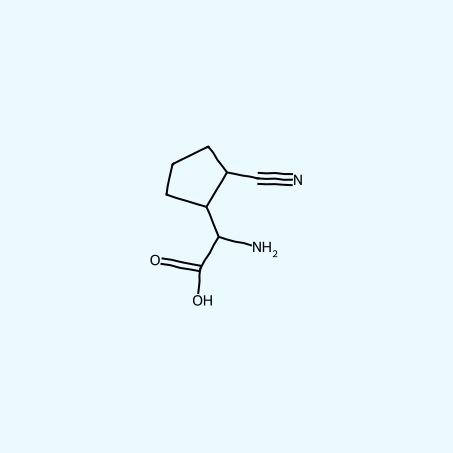 N#CC1CCCC1C(N)C(=O)O